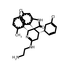 Cc1ccc(F)cc1[C@H]1N=C(NCCN)C[C@@H](C2C=CC=C(Cl)C2)[C@]12C(=O)Nc1cc(Cl)ccc12